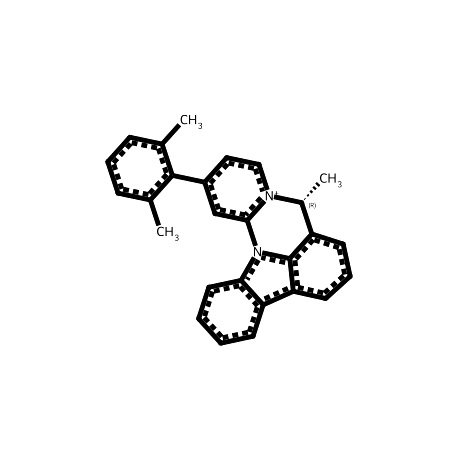 Cc1cccc(C)c1-c1cc[n+]2c(c1)-n1c3ccccc3c3cccc(c31)[C@H]2C